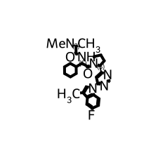 CN[C@@H](C)C(=O)N[C@H](C(=O)N1CCC[C@H]1c1cc(-n2cc(C)c3cc(F)ccc32)ncn1)C1CCCCC1